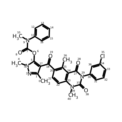 Cc1nn(C)c(OC(=O)N(C)c2ccccc2)c1C(=O)c1ccc2c(c1C)c(=O)n(-c1cccc(Cl)c1)c(=O)n2C